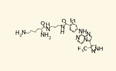 CCc1cc(Nc2nccn3c(-c4c[nH]nc4C(F)(F)F)cnc23)ccc1C(=O)NCCCNC(=O)[C@@H](N)CCCCN